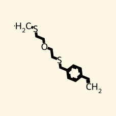 [CH2]SCCOCCSCc1ccc(C=C)cc1